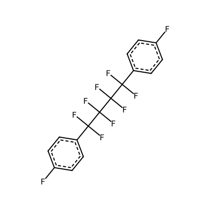 Fc1ccc(C(F)(F)C(F)(F)C(F)(F)C(F)(F)c2ccc(F)cc2)cc1